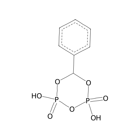 O=P1(O)OC(c2ccccc2)OP(=O)(O)O1